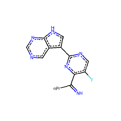 CC[CH]C(=N)c1nc(-c2c[nH]c3ncncc23)ncc1F